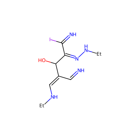 CCN/C=C(\C=N)C(O)/C(=N/NCC)C(=N)I